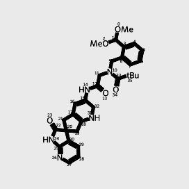 COC(OC)c1ccccc1CN(CC(=O)NC1=CC2=C(CC3(C2)C(=O)Nc2ncccc23)NC1)C(=O)C(C)(C)C